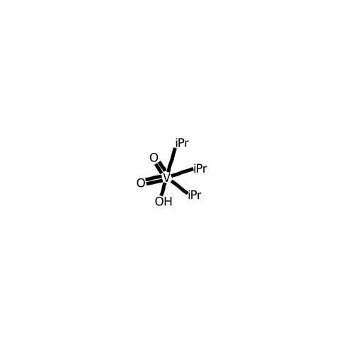 C[CH](C)[V](=[O])(=[O])([OH])([CH](C)C)[CH](C)C